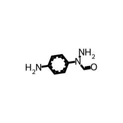 Nc1ccc(N(N)C=O)cc1